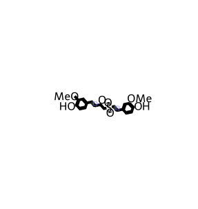 COc1cc(/C=C/C(=O)CS(=O)(=O)/C=C/c2ccc(O)c(OC)c2)ccc1O